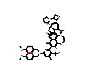 COc1ccc(CN(Cc2ccc(OC)cc2)c2cc(C)c(C(F)(F)F)c(-c3c(Cl)c4c5c(nc(OC[C@@H]6CCCN6C6COC6)nc5c3F)N([C@H](C)c3cccnc3NC(=O)O)CCO4)n2)cc1